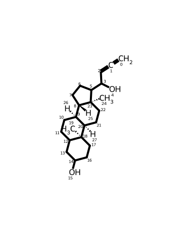 C=C=CC(O)C1CC[C@H]2[C@@H]3CCC4CC(O)CC[C@]4(C)[C@@H]3CC[C@]12C